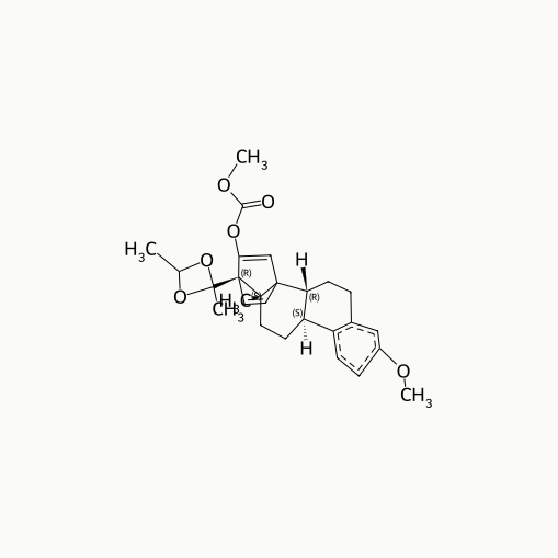 COC(=O)OC1=CC23C=C[C@@]1(C1(C)OC(C)O1)[C@@]2(C)CC[C@@H]1c2ccc(OC)cc2CC[C@H]13